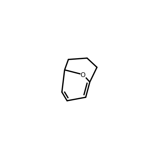 C1=CC2CCCC(=C1)O2